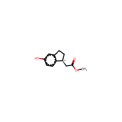 COC(=O)C[C@@H]1CCc2cc(O)ccc21